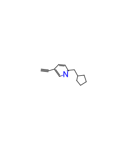 C#Cc1ccc(CC2CCCC2)nc1